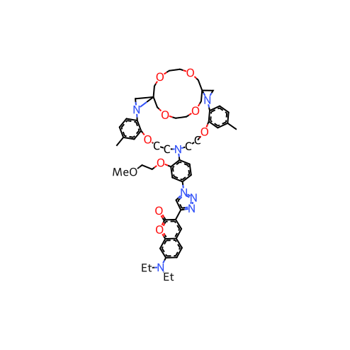 CCN(CC)c1ccc2cc(-c3cn(-c4ccc(N5CCOc6cc(C)ccc6N6CC67COCCOCC6(COCCOC7)CN6c6ccc(C)cc6OCC5)c(OCCOC)c4)nn3)c(=O)oc2c1